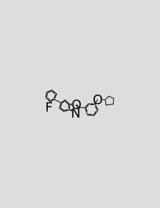 Fc1ccccc1-c1ccc2nc(-c3cccc(OC4CCCC4)c3)oc2c1